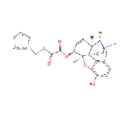 CN1CC[C@]23c4c5ccc(O)c4O[C@H]2[C@@H](OC(=O)C(=O)OCc2ccccc2)C=C[C@H]3[C@H]1C5